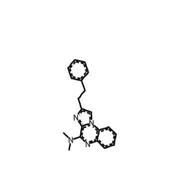 CN(C)c1nc2ccccc2n2cc(CCc3ccccc3)nc12